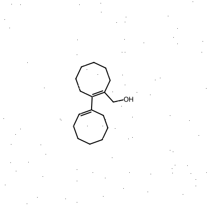 OCC1=C(C2=CCCCCCC2)CCCCCC1